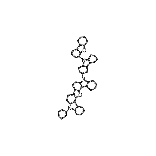 c1ccc(-n2c3ccccc3c3c4oc5c(ccc6c5c5ccccc5n6-c5ccc6c(c5)c5ccccc5n6-c5cccc6c5oc5ccccc56)c4ccc32)cc1